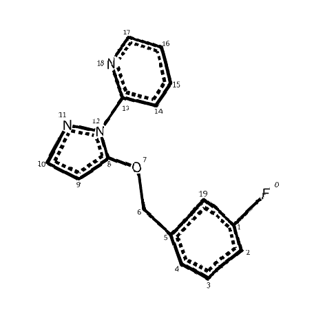 Fc1cccc(COc2ccnn2-c2ccccn2)c1